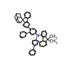 CC1(C)c2ccccc2-c2c(N(c3ccc(-c4ccccc4)cc3)c3ccc(-c4ccc5c(c4)-c4ccccc4C54C5CC6CC(C5)CC4C6)c(-c4ccccc4)c3)cccc21